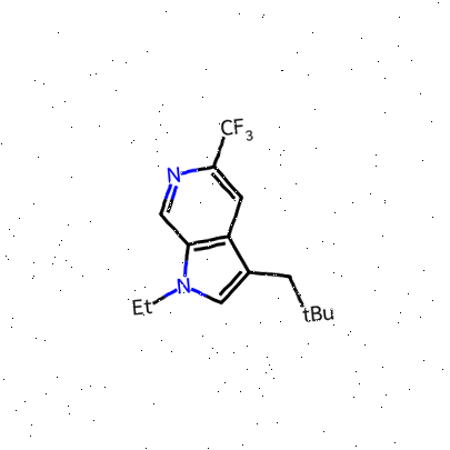 CCn1cc(CC(C)(C)C)c2cc(C(F)(F)F)ncc21